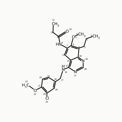 CCCc1c(OC)c(NC(=O)CC)cc2c(NCc3ccc(OC)c(Cl)c3)ncnc12